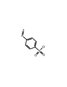 O=S(=O)(Cl)c1ccc(P=S)cc1